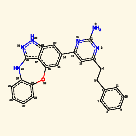 Nc1nc(CCc2ccccc2)cc(-c2cc3c4c(n[nH]c4c2)Nc2ccccc2O3)n1